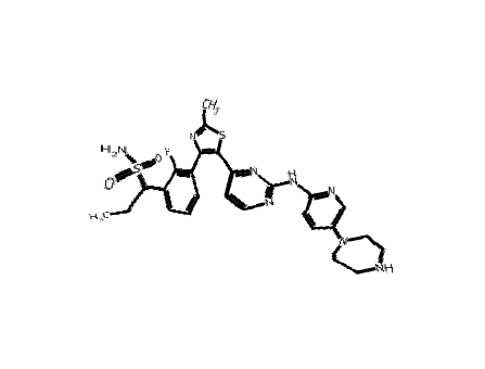 CCC(c1cccc(-c2nc(C)sc2-c2ccnc(Nc3ccc(N4CCNCC4)cn3)n2)c1F)S(N)(=O)=O